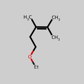 [CH2]COCCC(C)=C(C)C